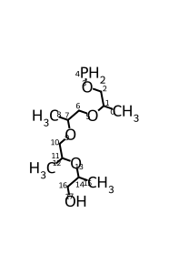 CC(COP)OCC(C)OCC(C)OC(C)CO